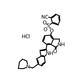 Cl.N#Cc1ccccc1S(=O)(=O)Oc1ccc(-c2cc3cc(CN4CCCCC4)ccc3[nH]2)c2c1CNC2=O